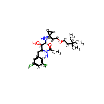 CC(=O)NC(Cc1cc(F)cc(F)c1)C(O)CNC1(CCOCCC(C)(C)C)CC1